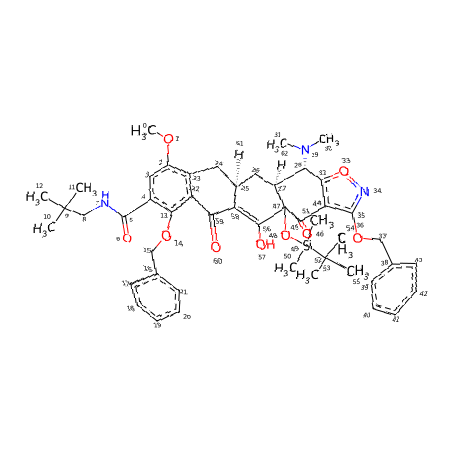 COc1cc(C(=O)NCC(C)(C)C)c(OCc2ccccc2)c2c1C[C@H]1C[C@H]3[C@H](N(C)C)c4onc(OCc5ccccc5)c4C(=O)C3(O[Si](C)(C)C(C)(C)C)C(O)=C1C2=O